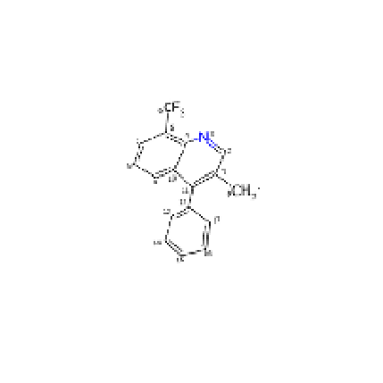 [CH2]c1cnc2c(C(F)(F)F)cccc2c1-c1ccccc1